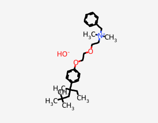 CCC(C)(CC(C)(C)C)c1ccc(OCCOCC[N+](C)(C)Cc2ccccc2)cc1.[OH-]